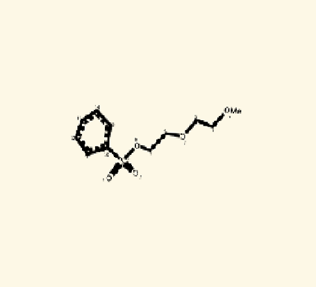 COCCOCCOS(=O)(=O)c1ccccc1